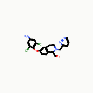 Nc1cc(Cl)c(Oc2ccc3c(c2)CCN(Cc2cccnn2)C3C=O)c(Cl)c1